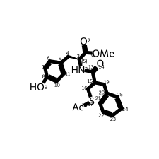 COC(=O)[C@H](Cc1ccc(O)cc1)NC(=O)C(CSC(C)=O)Cc1ccccc1